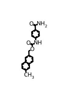 Cc1ccc2cc(COC(=O)Nc3ccc(C(N)=O)cc3)ccc2c1